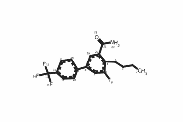 CCCCc1c(I)cc(-c2ccc(C(F)(F)F)cc2)cc1C(N)=O